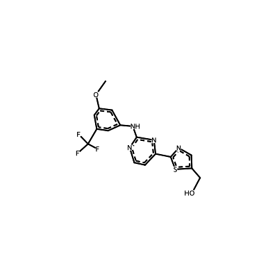 COc1cc(Nc2nccc(-c3ncc(CO)s3)n2)cc(C(F)(F)F)c1